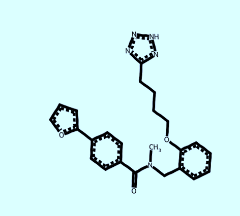 CN(Cc1ccccc1OCCCCc1nn[nH]n1)C(=O)c1ccc(-c2ccco2)cc1